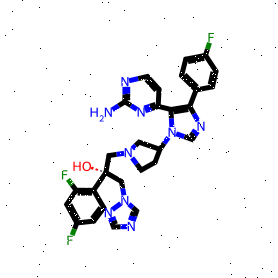 Nc1nccc(-c2c(-c3ccc(F)cc3)ncn2C2CCN(C[C@@](O)(Cn3cncn3)c3ccc(F)cc3F)C2)n1